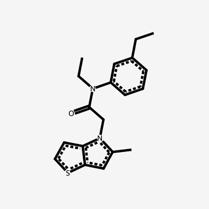 CCc1cccc(N(CC)C(=O)Cn2c(C)cc3sccc32)c1